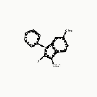 COc1ccc2c(C(=O)O)c(Cl)n(-c3ccccc3)c2c1